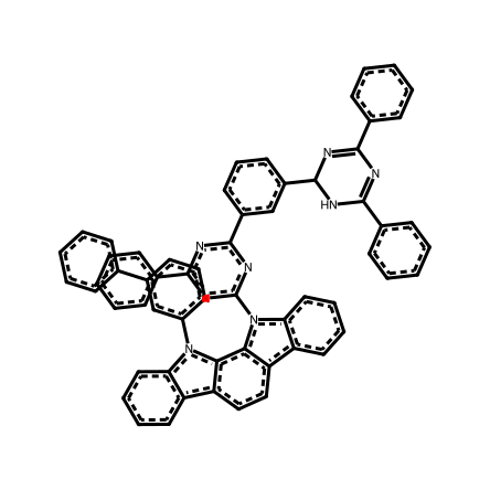 c1ccc(C2=NC(c3cccc(-c4nc(-c5ccccc5)nc(-n5c6ccccc6c6ccc7c8ccccc8n(-c8cccc(-c9ccccc9)c8)c7c65)n4)c3)NC(c3ccccc3)=N2)cc1